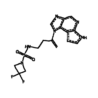 C=C(CCNS(=O)(=O)N1CC(F)(F)C1)n1cnc2cnc3[nH]ccc3c21